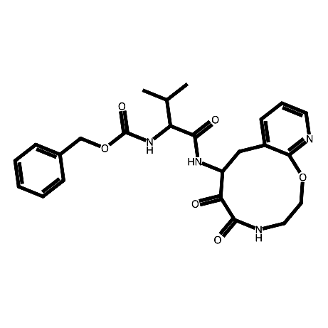 CC(C)C(NC(=O)OCc1ccccc1)C(=O)NC1Cc2cccnc2OCCNC(=O)C1=O